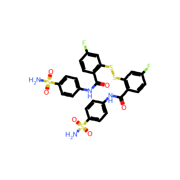 NS(=O)(=O)c1ccc(NC(=O)c2ccc(F)cc2SSc2cc(F)ccc2C(=O)Nc2ccc(S(N)(=O)=O)cc2)cc1